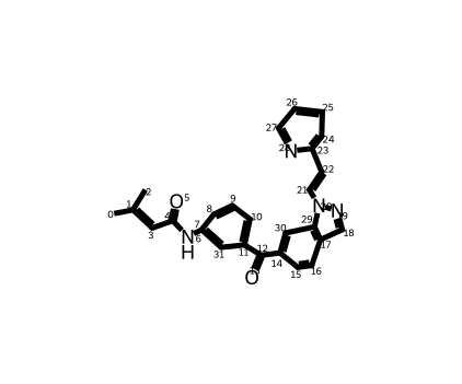 CC(C)=CC(=O)Nc1cccc(C(=O)c2ccc3cnn(C=Cc4ccccn4)c3c2)c1